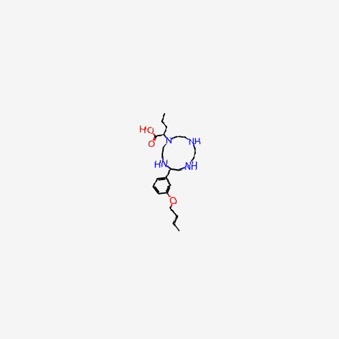 CCCCOc1cccc(C2CNCCNCCN(C(CCC)C(=O)O)CCN2)c1